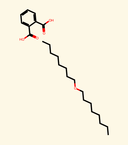 CCCCCCCCOCCCCCCCC.O=C(O)c1ccccc1C(=O)O